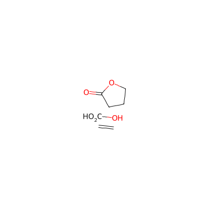 C=C.O=C(O)O.O=C1CCCO1